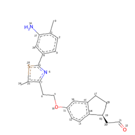 Cc1ccc(-c2nc(CCOc3ccc4c(c3)CC[C@H]4CC=O)c(C)s2)cc1N